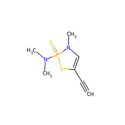 C#CC1=CN(C)P(=S)(N(C)C)S1